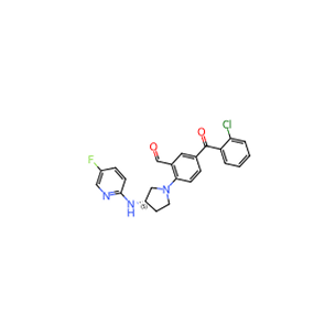 O=Cc1cc(C(=O)c2ccccc2Cl)ccc1N1CC[C@H](Nc2ccc(F)cn2)C1